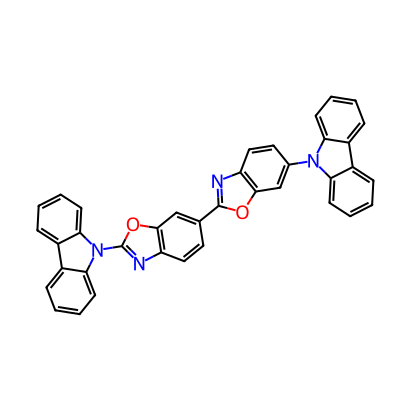 c1ccc2c(c1)c1ccccc1n2-c1ccc2nc(-c3ccc4nc(-n5c6ccccc6c6ccccc65)oc4c3)oc2c1